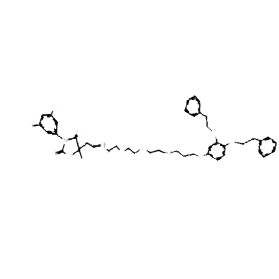 CC1(CCNCCOCCOCCNCCCOc2ccc(OCCc3ccccc3)c(OCCc3ccccc3)c2)OC(=O)N(c2cc(Cl)cc(Cl)c2)C1=O